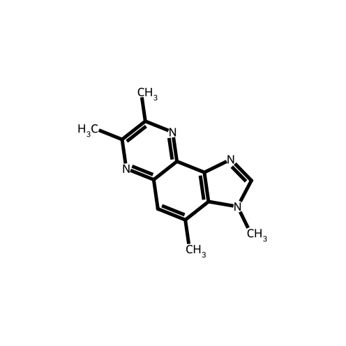 Cc1nc2cc(C)c3c(ncn3C)c2nc1C